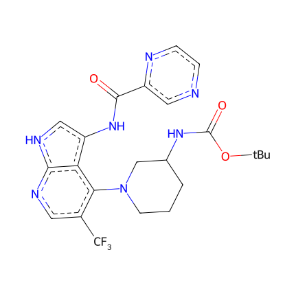 CC(C)(C)OC(=O)NC1CCCN(c2c(C(F)(F)F)cnc3[nH]cc(NC(=O)c4cnccn4)c23)C1